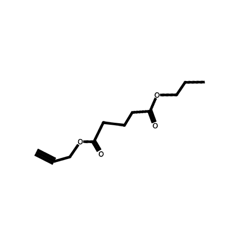 C#CCOC(=O)CCCC(=O)OCCC